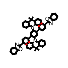 CC1(C)c2ccccc2N(c2cc(-c3ccc(-c4nc5ccccc5o4)cc3)c(N3c4ccccc4C(C)(C)c4ccccc43)cc2-c2ccc(-c3nc4ccccc4o3)cc2)c2ccccc21